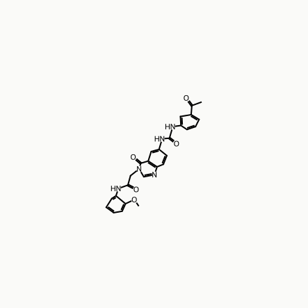 COc1ccccc1NC(=O)Cn1cnc2ccc(NC(=O)Nc3cccc(C(C)=O)c3)cc2c1=O